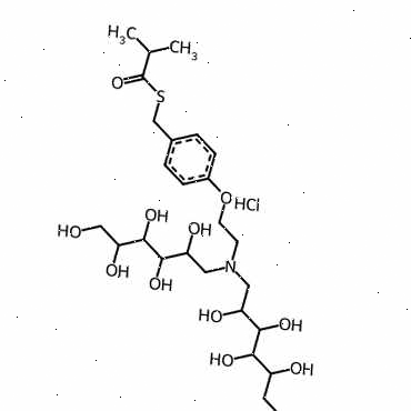 CC(C)C(=O)SCc1ccc(OCCN(CC(O)C(O)C(O)C(O)CO)CC(O)C(O)C(O)C(O)CO)cc1.Cl